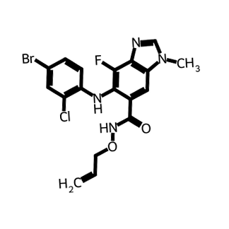 C=CCONC(=O)c1cc2c(ncn2C)c(F)c1Nc1ccc(Br)cc1Cl